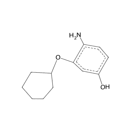 Nc1ccc(O)cc1OC1CCCCC1